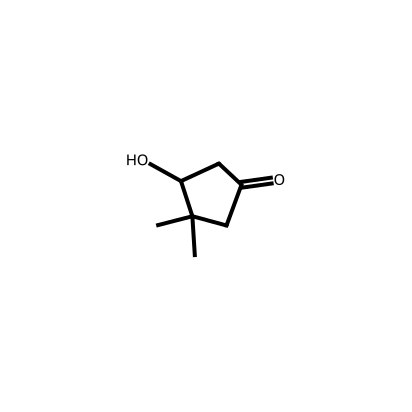 CC1(C)CC(=O)CC1O